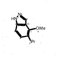 COc1c(C(C)C)ccc2[nH]ncc12